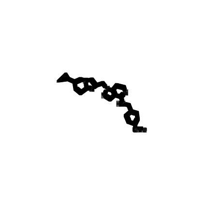 COc1ccc(CNc2nccc3c2cnn3Cc2cn3cc(C4CC4)ccc3n2)cc1